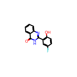 O=c1[nH]c(-c2cc(F)ccc2O)nc2ccccc12